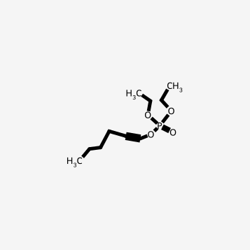 CCCCC#COP(=O)(OCC)OCC